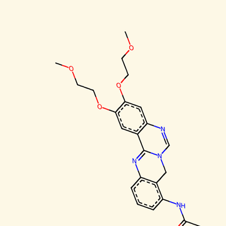 COCCOc1cc2c(cc1OCCOC)C1=Nc3cccc(NC(C)=O)c3CN1C=N2